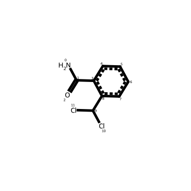 NC(=O)c1ccccc1[C](Cl)Cl